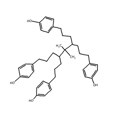 CC(C)(C(CCCc1ccc(O)cc1)CCCc1ccc(O)cc1)C(CCCc1ccc(O)cc1)CCCc1ccc(O)cc1